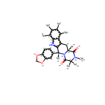 [2H]c1c([2H])c([2H])c2c3c([nH]c2c1[2H])[C@@]([2H])(c1ccc2c(c1)OCO2)N1C(=O)C([2H])([2H])N(C)C(=O)[C@H]1C3